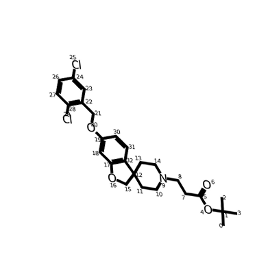 CC(C)(C)OC(=O)CCN1CCC2(CC1)COc1cc(OCc3cc(Cl)ccc3Cl)ccc12